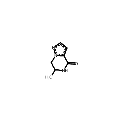 CC1Cn2nccc2C(=O)N1